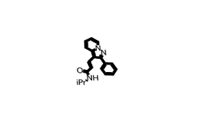 CC(C)NC(=O)C=Cc1c(-c2ccccc2)nn2ccccc12